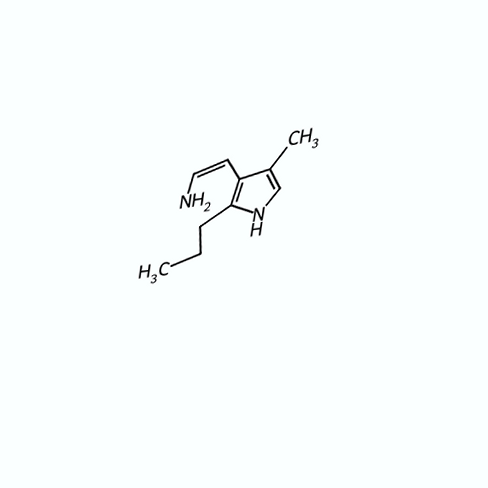 CCCc1[nH]cc(C)c1/C=C\N